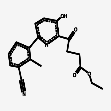 CCOC(=O)CCC(=O)c1nc(-c2cccc(C#N)c2C)ccc1O